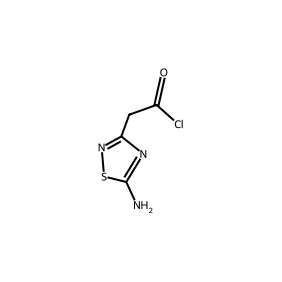 Nc1nc(CC(=O)Cl)ns1